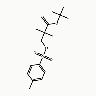 Cc1ccc(S(=O)(=O)OCC(C)(C)C(=O)OC(C)(C)C)cc1